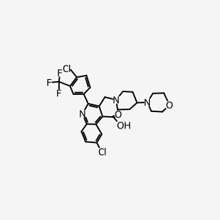 O=C(O)c1c(CN2CCC(N3CCOCC3)CC2)c(-c2ccc(Cl)c(C(F)(F)F)c2)nc2ccc(Cl)cc12